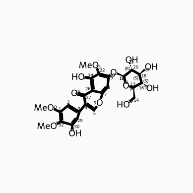 COc1cc(-c2coc3cc(O[C@@H]4O[C@H](CO)[C@@H](O)[C@H](O)[C@H]4O)c(OC)c(O)c3c2=O)cc(O)c1OC